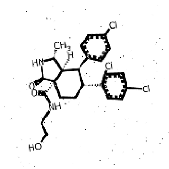 C[C@H]1NC(=O)[C@]2(C(=O)NCCO)CC[C@@H](c3ccc(Cl)cc3Cl)[C@H](c3ccc(Cl)cc3)[C@H]12